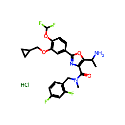 CC(N)c1oc(-c2ccc(OC(F)F)c(OCC3CC3)c2)nc1C(=O)N(C)Cc1ccc(F)cc1F.Cl